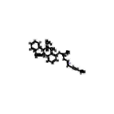 CCN(C/C=C/C#CC(C)(C)C)Cc1cccc(OC(c2ccccc2OC)[SiH](C)C)c1